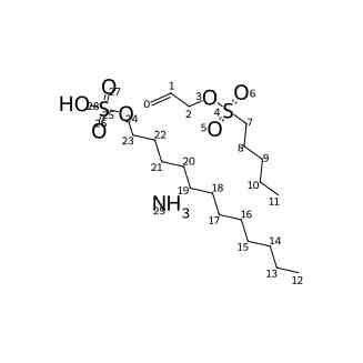 C=CCOS(=O)(=O)CCCCC.CCCCCCCCCCCCOS(=O)(=O)O.N